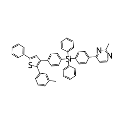 Cc1cccc(-c2sc(-c3ccccc3)cc2-c2ccc([Si](c3ccccc3)(c3ccccc3)c3ccc(-c4ccnc(C)n4)cc3)cc2)c1